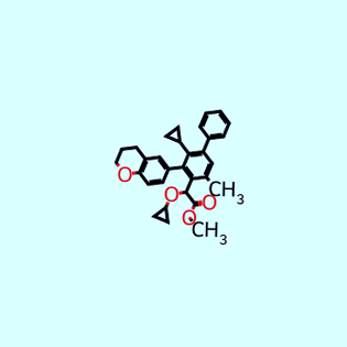 COC(=O)C(OC1CC1)c1c(C)cc(-c2ccccc2)c(C2CC2)c1-c1ccc2c(c1)CCCO2